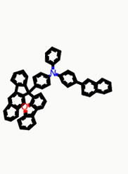 c1ccc(N(c2ccc(-c3ccc4ccccc4c3)cc2)c2ccc(C3(c4cccc5c4oc4ccccc45)c4ccccc4-c4cc5ccccc5cc43)cc2)cc1